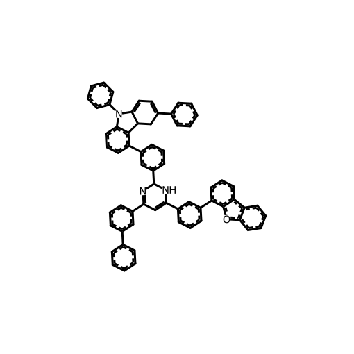 C1=C(c2ccccc2)CC2C(=C1)N(c1ccccc1)c1cccc(-c3cccc(C4N=C(c5cccc(-c6ccccc6)c5)C=C(c5cccc(-c6cccc7c6oc6ccccc67)c5)N4)c3)c12